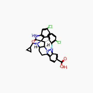 O=C(O)c1ccc2c3n(nc2c1)[C@H]1[C@@H](CC3)N(CC2CC2)[C@]2(C(=O)Nc3cc(Cl)ccc32)[C@@H]1c1cccc(Cl)c1F